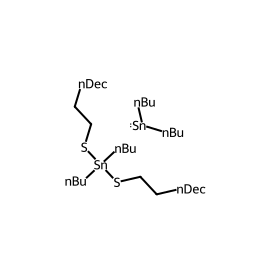 CCCCCCCCCCCC[S][Sn]([CH2]CCC)([CH2]CCC)[S]CCCCCCCCCCCC.CCC[CH2][Sn][CH2]CCC